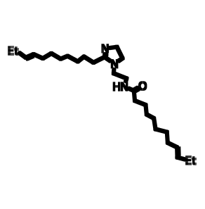 CC/C=C/CCCCCCCC(=O)NCCN1CCN=C1CCCCCCC/C=C/CC